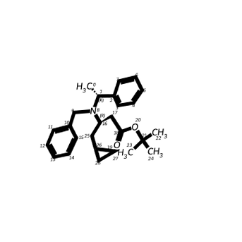 C[C@H](c1ccccc1)N(Cc1ccccc1)[C@@H](CC(=O)OC(C)(C)C)CC1CC1